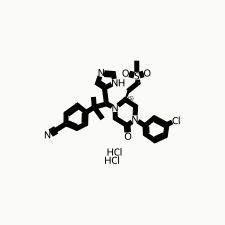 CC(C)(c1ccc(C#N)cc1)C(c1cnc[nH]1)N1CC(=O)N(c2cccc(Cl)c2)C[C@@H]1CCS(C)(=O)=O.Cl.Cl